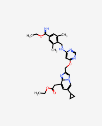 CCOC(=N)c1cc(C)c(CNc2cc(OCc3cn4cc(C5CC5)cc(CC(=O)OCC)c4n3)ncn2)c(C)c1